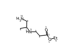 CCOC(=O)CCNC(C)CN